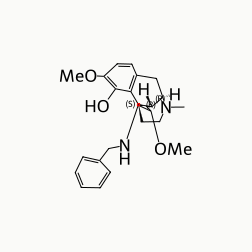 COc1ccc2c(c1O)[C@]13CCN(C)[C@H](C2)[C@@H]1CC(OC)C(NCc1ccccc1)C3